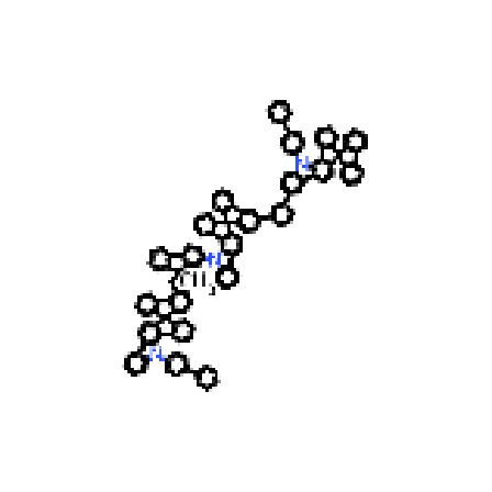 CC1(Cc2cccc3c2-c2ccccc2C32c3ccccc3-c3c2ccc2c4ccccc4n(-c4ccc(-c5ccccc5)cc4)c32)c2ccccc2-c2ccc(-n3c4ccccc4c4ccc5c(c43)-c3ccccc3C53c4ccccc4-c4cc(-c5cccc(-c6ccc7c(c6)c6ccc8c(c6n7-c6ccc(-c7ccccc7)cc6)-c6ccccc6C86c7ccccc7-c7ccccc76)c5)ccc43)cc21